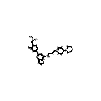 CCN(CC)Cc1ccc(-c2cc(NCCCN3CCC(N4CCSCC4)CC3)c3sccc3n2)cc1F